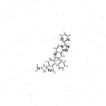 CN(C)C1CC(N)(c2ccc(-c3nc4ccn5c(-c6ncccn6)nnc5c4cc3-c3ccccc3)cc2)C1